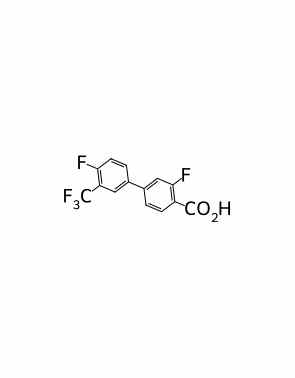 O=C(O)c1ccc(-c2ccc(F)c(C(F)(F)F)c2)cc1F